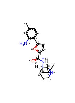 Cc1ccc(-c2ccc(C(=O)N[C@@H]3C4CCN(CC4)[C@H]3C)o2)c(N)c1